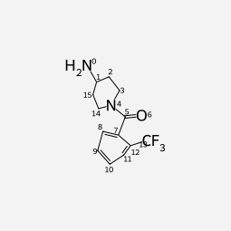 NC1CCN(C(=O)c2ccccc2C(F)(F)F)CC1